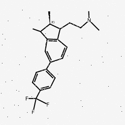 CC1c2cc(-c3ccc(C(F)(F)F)cc3)ccc2C(CCN(C)C)[C@@H]1C